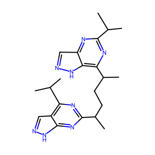 CC(C)c1nc(C(C)CCC(C)c2nc(C(C)C)c3cn[nH]c3n2)c2[nH]ncc2n1